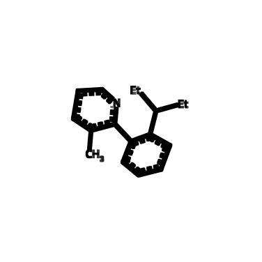 CCC(CC)c1ccccc1-c1ncccc1C